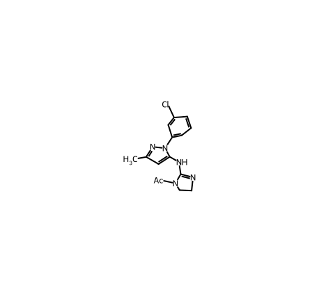 CC(=O)N1CCN=C1Nc1cc(C)nn1-c1cccc(Cl)c1